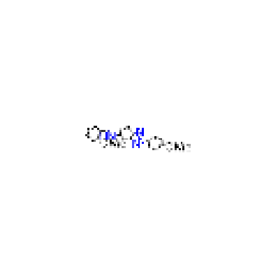 COc1ccc(-n2nc3ccc(NCc4ccccc4OC)cc3n2)cc1